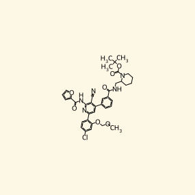 COCOc1cc(Cl)ccc1-c1cc(-c2cccc(C(=O)NCC3CCCCN3C(=O)OC(C)(C)C)c2)c(C#N)c(NC(=O)c2ccco2)n1